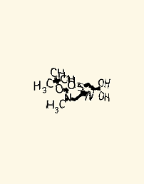 CN(Cc1nc(C(O)O)cs1)C(=O)OC(C)(C)C